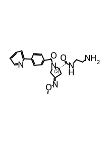 CON=C1C[C@@H](C(=O)NCCN)N(C(=O)c2ccc(-c3ccccn3)cc2)C1